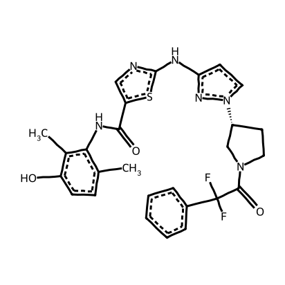 Cc1ccc(O)c(C)c1NC(=O)c1cnc(Nc2ccn([C@@H]3CCN(C(=O)C(F)(F)c4ccccc4)C3)n2)s1